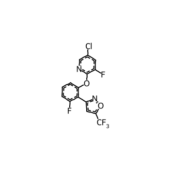 Fc1cc(Cl)cnc1Oc1cccc(F)c1-c1cc(C(F)(F)F)on1